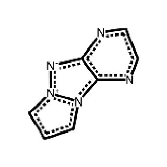 c1cn2c3nccnc3[n-][n+]2c1